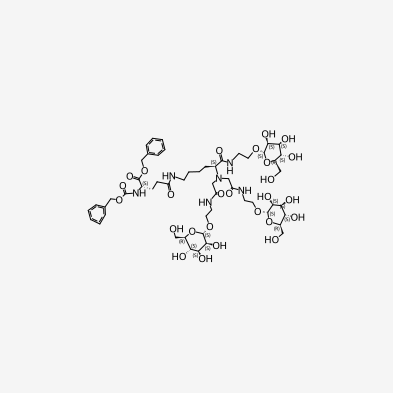 O=C(CC[C@H](NC(=O)OCc1ccccc1)C(=O)OCc1ccccc1)NCCCC[C@@H](C(=O)NCCO[C@H]1O[C@H](CO)[C@@H](O)[C@H](O)[C@@H]1O)N(CC(=O)NCCO[C@H]1O[C@H](CO)[C@@H](O)[C@H](O)[C@@H]1O)CC(=O)NCCO[C@H]1O[C@H](CO)[C@@H](O)[C@H](O)[C@@H]1O